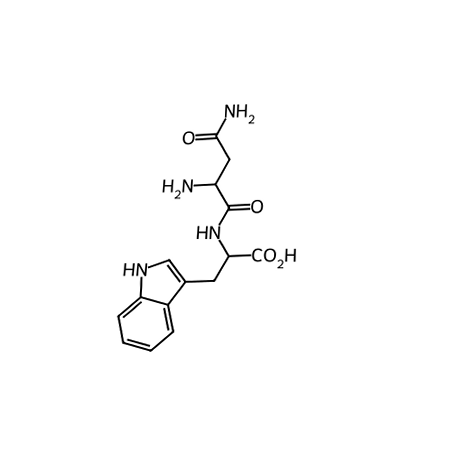 NC(=O)CC(N)C(=O)NC(Cc1c[nH]c2ccccc12)C(=O)O